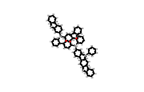 c1ccc(N(c2ccc(-c3ccccc3N(c3ccc4c(c3)sc3ccccc34)c3ccc4sc5ccccc5c4c3)cc2)c2ccc3c4cc5sc6ccccc6c5cc4n(-c4ccccc4)c3c2)cc1